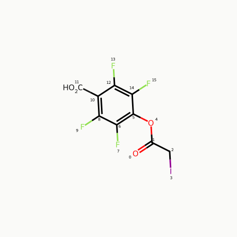 O=C(CI)Oc1c(F)c(F)c(C(=O)O)c(F)c1F